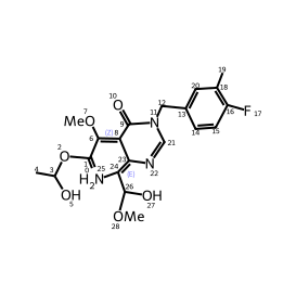 C=C(OC(C)O)/C(OC)=c1/c(=O)n(Cc2ccc(F)c(C)c2)cn/c1=C(/N)C(O)OC